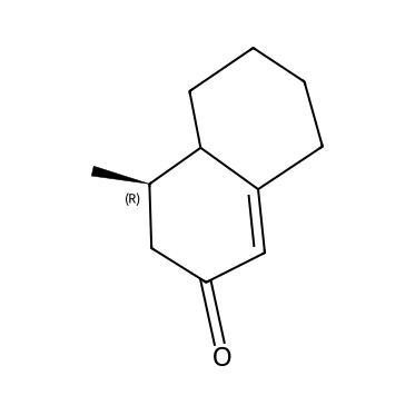 C[C@@H]1CC(=O)C=C2CCCCC21